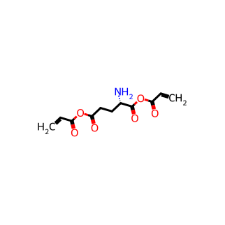 C=CC(=O)OC(=O)CC[C@H](N)C(=O)OC(=O)C=C